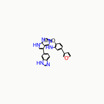 COc1ccc(-c2ccoc2)cc1Nc1ncnc2[nH]cc(-c3ccc4nc[nH]c4c3)c12